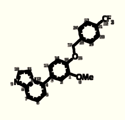 COc1cc(-c2cccc3nccn23)ccc1OCc1ccc(C(F)(F)F)cc1